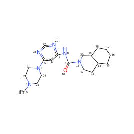 CC(C)N1CCN(c2cc(NC(=O)N3CCC4CCCCC4C3)ncn2)CC1